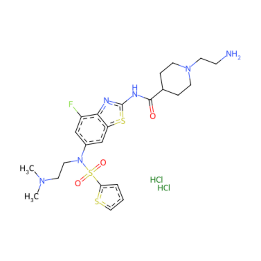 CN(C)CCN(c1cc(F)c2nc(NC(=O)C3CCN(CCN)CC3)sc2c1)S(=O)(=O)c1cccs1.Cl.Cl